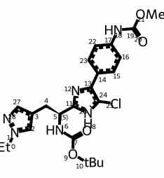 CCn1cc(C[C@H](NC(=O)OC(C)(C)C)c2nc(-c3ccc(NC(=O)OC)cc3)c(Cl)[nH]2)cn1